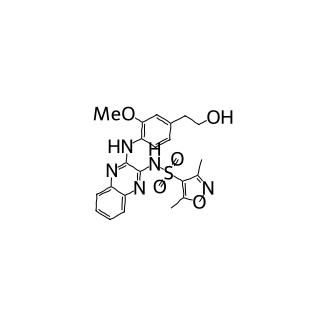 COc1cc(CCO)ccc1Nc1nc2ccccc2nc1NS(=O)(=O)c1c(C)noc1C